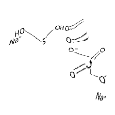 C=O.C=O.O=S(=O)([O-])[O-].OSO.[Na+].[Na+]